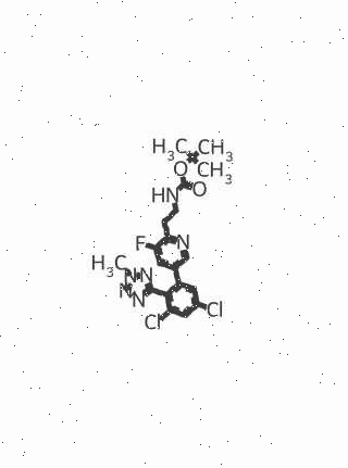 Cn1nnc(-c2c(Cl)cc(Cl)cc2-c2cnc(CCNC(=O)OC(C)(C)C)c(F)c2)n1